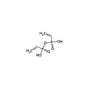 C=CP(=O)(O)OP(=O)(O)C=C